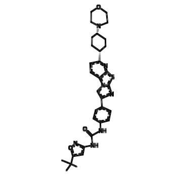 CC(C)(C)c1cc(NC(=O)Nc2ccc(-c3cn4c(n3)sc3nc([C@H]5CC[C@@H](N6CCOCC6)CC5)ccc34)cc2)no1